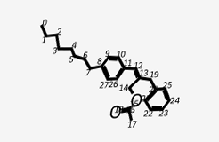 CCCCCCCCc1ccc(C=C(COC(C)=O)Cc2ccccc2)cc1